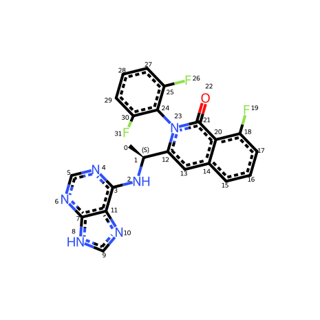 C[C@H](Nc1ncnc2[nH]cnc12)c1cc2cccc(F)c2c(=O)n1-c1c(F)cccc1F